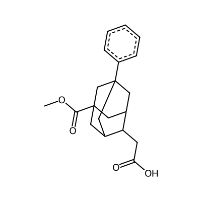 COC(=O)C12CC3CC(c4ccccc4)(CC(C1)C3CC(=O)O)C2